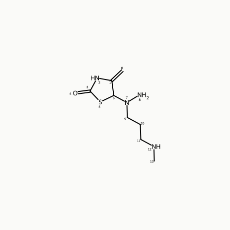 C=C1NC(=O)SC1N(N)CCCNC